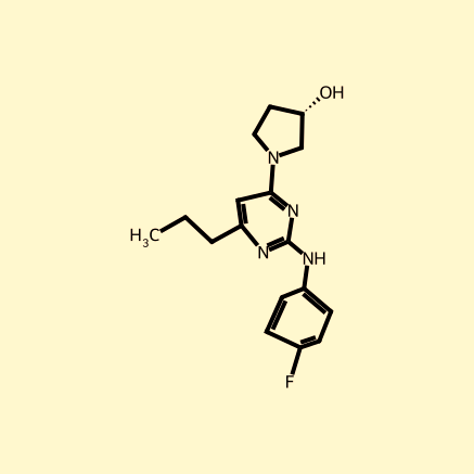 CCCc1cc(N2CC[C@H](O)C2)nc(Nc2ccc(F)cc2)n1